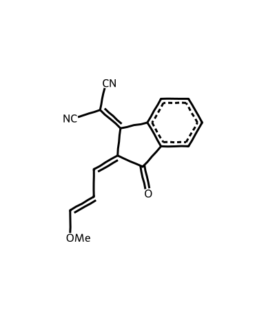 CO/C=C/C=C1\C(=O)c2ccccc2C1=C(C#N)C#N